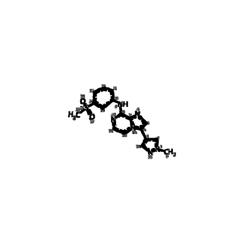 Cn1cc(-c2cnc3c(Nc4cccc(S(C)(=O)=O)c4)nccn23)cn1